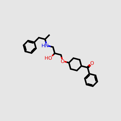 CC(Cc1ccccc1)NCC(O)COC1CCC(C(=O)c2ccccc2)CC1